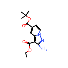 CCOC(=O)c1c(N)nn2ccc(C(=O)OC(C)(C)C)cc12